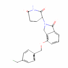 C[C@]1(N2Cc3c(OCc4ccc(CBr)cc4)cccc3C2=O)CCC(=O)NC1=O